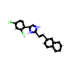 Clc1ccc(-c2c[nH]c(/C=C/c3ccc4ccccc4c3)n2)c(Cl)c1